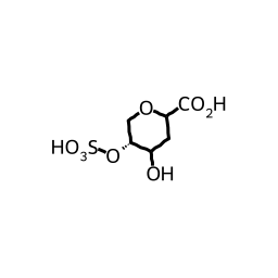 O=C(O)C1CC(O)[C@H](OS(=O)(=O)O)CO1